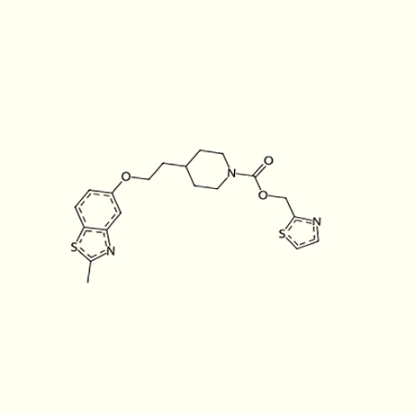 Cc1nc2cc(OCCC3CCN(C(=O)OCc4nccs4)CC3)ccc2s1